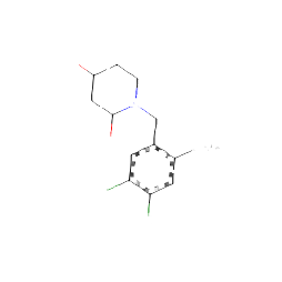 COc1cc(Cl)c(Cl)cc1CN1CCC(O)CC1O